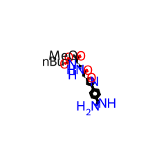 CCCCOC(=O)N[C@@H](CNC(=O)C[C@H]1CC(c2ccc(C(=N)N)cc2)=NO1)C(=O)OC